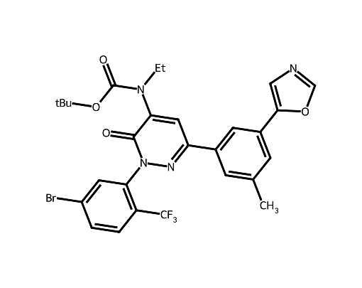 CCN(C(=O)OC(C)(C)C)c1cc(-c2cc(C)cc(-c3cnco3)c2)nn(-c2cc(Br)ccc2C(F)(F)F)c1=O